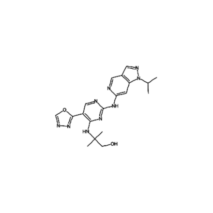 CC(C)n1ncc2cnc(Nc3ncc(-c4nnco4)c(NC(C)(C)CO)n3)cc21